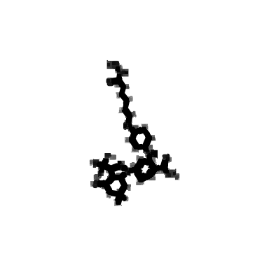 CC1(C)CC(=O)C2C(C(F)(F)F)=NN(c3ccc(C(N)=O)c(NC4CCC(OCCCCCC(=O)NO)CC4)c3)C2C1